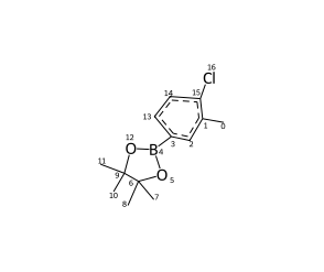 Cc1cc(B2OC(C)(C)C(C)(C)O2)ccc1Cl